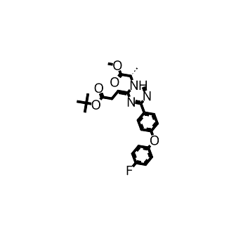 C=N/C(=N\C(=C/CC(=O)OC(C)(C)C)N[C@@H](C)C(=O)OC)c1ccc(Oc2ccc(F)cc2)cc1